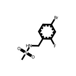 CS(=O)(=O)NCc1ccc(Br)cc1F